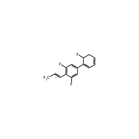 Fc1cc(C2=CC=CCC2F)cc(F)c1/C=C/C(F)(F)F